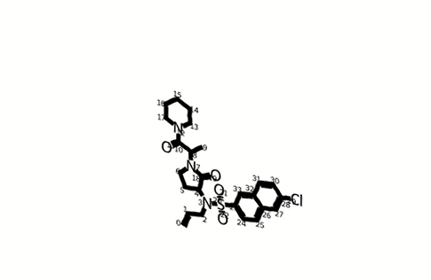 C=CCN(C1CCN(C(C)C(=O)N2CCCCC2)C1=O)S(=O)(=O)c1ccc2cc(Cl)ccc2c1